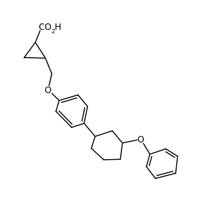 O=C(O)C1CC1COc1ccc(C2CCCC(Oc3ccccc3)C2)cc1